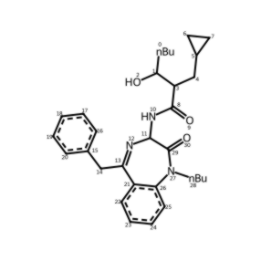 CCCCC(O)C(CC1CC1)C(=O)NC1N=C(Cc2ccccc2)c2ccccc2N(CCCC)C1=O